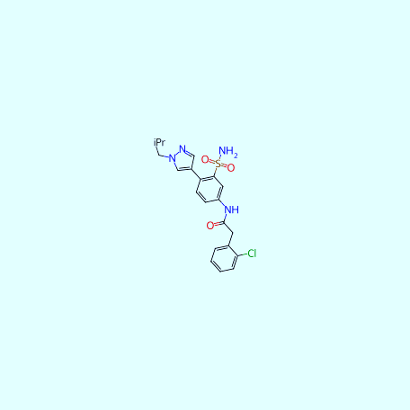 CC(C)Cn1cc(-c2ccc(NC(=O)Cc3ccccc3Cl)cc2S(N)(=O)=O)cn1